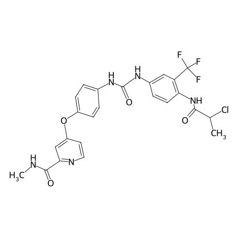 CNC(=O)c1cc(Oc2ccc(NC(=O)Nc3ccc(NC(=O)C(C)Cl)c(C(F)(F)F)c3)cc2)ccn1